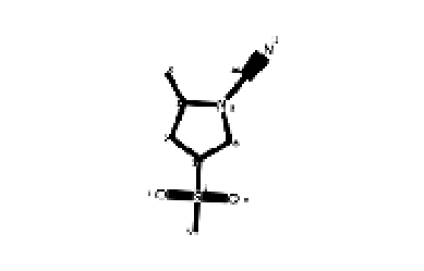 CC1CC(S(C)(=O)=O)CN1C#N